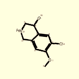 COc1cc2c(cc1Cl)C([O])CNC2